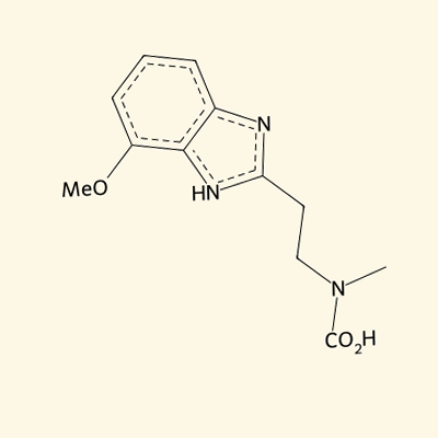 COc1cccc2nc(CCN(C)C(=O)O)[nH]c12